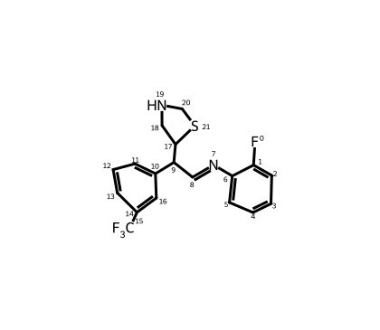 Fc1ccccc1N=CC(c1cccc(C(F)(F)F)c1)C1CNCS1